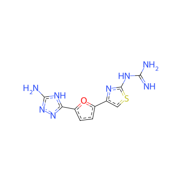 N=C(N)Nc1nc(-c2ccc(-c3nnc(N)[nH]3)o2)cs1